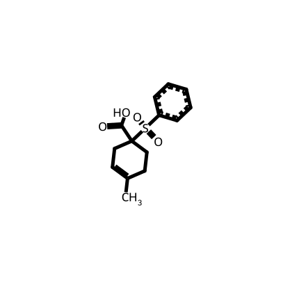 CC1=CCC(C(=O)O)(S(=O)(=O)c2ccccc2)CC1